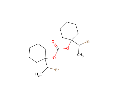 CC(Br)C1(OC(=O)OC2(C(C)Br)CCCCC2)CCCCC1